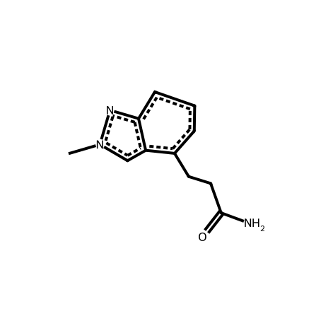 Cn1cc2c(CCC(N)=O)cccc2n1